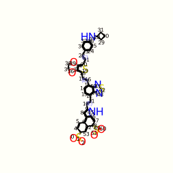 O=S(=O)=C1C=CC2=c3cc(/C=C/c4ccc(/C=C/c5sc(/C=C/c6ccc(NC7CCC7)cc6)c6c5OCCO6)c5nsnc45)[nH]c3=CC(=S(=O)=O)C2=C1